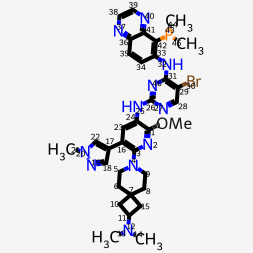 COc1nc(N2CCC3(CC2)CC(N(C)C)C3)c(-c2cnn(C)c2)cc1Nc1ncc(Br)c(Nc2ccc3nccnc3c2P(C)C)n1